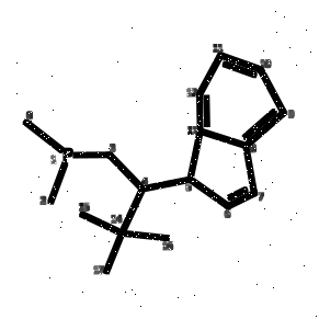 CP(C)CC(C1C=Cc2ccccc21)C(C)(C)C